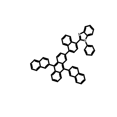 c1ccc(-n2c(-c3ccc(-c4ccc5c(-c6ccc7ccccc7c6)c6ccccc6c(-c6ccc7ccccc7c6)c5c4)c4ccccc34)nc3ccccc32)cc1